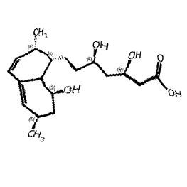 C[C@H]1C=C2C=C[C@H](C)[C@H](CC[C@@H](O)C[C@@H](O)CC(=O)O)C2[C@@H](O)C1